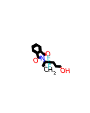 C=CC(N1C(=O)c2ccccc2C1=O)C(F)(F)CCCO